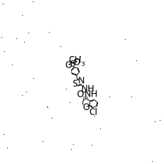 CS(=O)(=O)c1ccc(-c2nc(NC(=O)N[C@H]3CCOc4c(Cl)cccc43)cs2)cc1